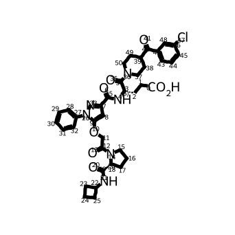 O=C(O)CC[C@H](NC(=O)c1cc(OCC(=O)N2CCC[C@H]2C(=O)NC2CCC2)n(-c2ccccc2)n1)C(=O)N1CCC(C(=O)c2cccc(Cl)c2)CC1